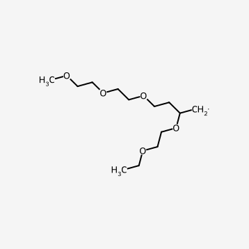 [CH2]C(CCOCCOCCOC)OCCOCC